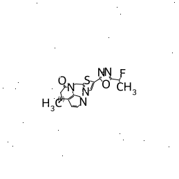 CC(F)c1nnc(-c2cnc(CN3C(=O)C[C@H](C)c4ccncc43)s2)o1